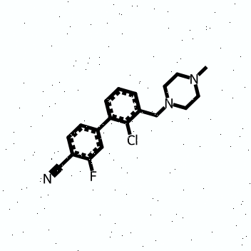 CN1CCN(Cc2cccc(-c3ccc(C#N)c(F)c3)c2Cl)CC1